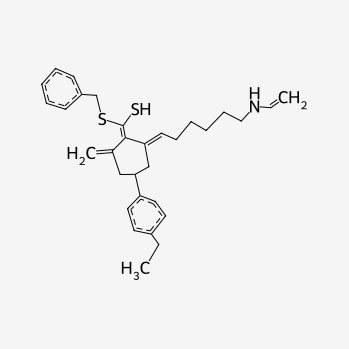 C=CNCCCCC/C=C1\CC(c2ccc(CC)cc2)CC(=C)\C1=C(\S)SCc1ccccc1